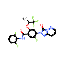 CC(Oc1cc(-n2nc3cccnn3c2=O)c(F)cc1C(=O)Nc1c(F)cccc1F)C(F)(F)F